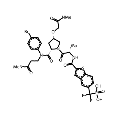 CNC(=O)CCN(C(=O)[C@@H]1C[C@H](OCC(=O)NC)CN1C(=O)[C@@H](NC(=O)c1cc2cc(C(F)(F)P(=O)(O)O)ccc2s1)C(C)(C)C)c1ccc(Br)cc1